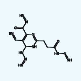 N=CC1=C(C(=O)N=N)N=C(CCC(=O)NN=N)NC1NN=N